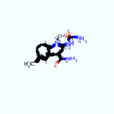 Cc1ccc2c(c1)c(C(N)=O)c(NC(N)=O)n2C